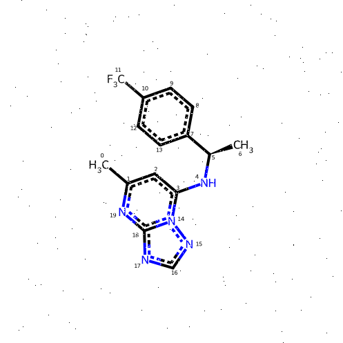 Cc1cc(N[C@H](C)c2ccc(C(F)(F)F)cc2)n2ncnc2n1